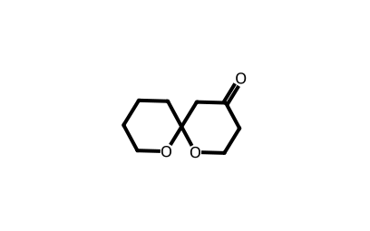 O=C1CCOC2(CCCCO2)C1